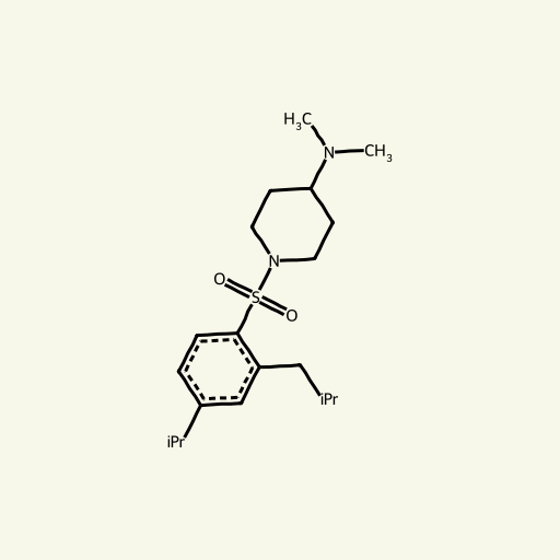 CC(C)Cc1cc(C(C)C)ccc1S(=O)(=O)N1CCC(N(C)C)CC1